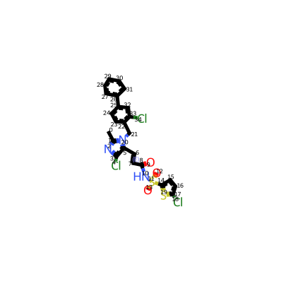 Cc1nc(Cl)c(/C=C/C(=O)NS(=O)(=O)c2ccc(Cl)s2)n1Cc1ccc(-c2ccccc2)cc1Cl